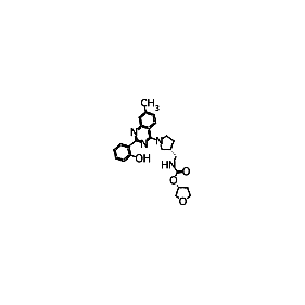 Cc1ccc2c(N3CC[C@H](CNC(=O)O[C@@H]4CCOC4)C3)nc(-c3ccccc3O)nc2c1